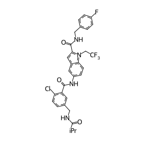 CC(C)C(=O)NCc1ccc(Cl)c(C(=O)Nc2ccc3c(c2)cc(C(=O)NCc2ccc(F)cc2)n3CC(F)(F)F)c1